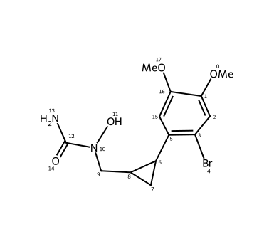 COc1cc(Br)c(C2CC2CN(O)C(N)=O)cc1OC